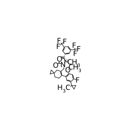 COc1cc(F)c(C2(C)CC2)cc1C1=C(CN2C(=O)O[C@H](c3cc(C(F)(F)F)cc(C(F)(F)F)c3)[C@@H]2C)CC2(CC1)CC2